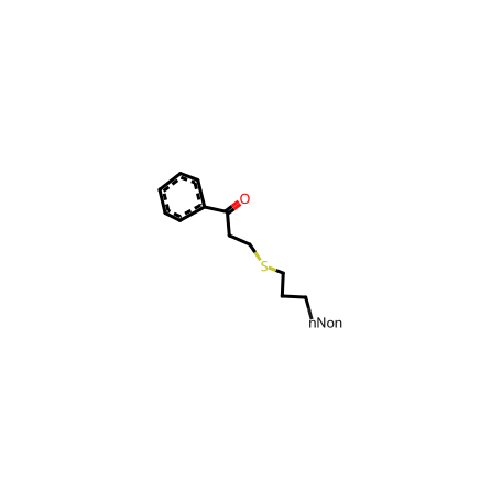 CCCCCCCCCCCCSCCC(=O)c1ccccc1